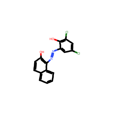 Oc1ccc2ccccc2c1N=Nc1cc(Cl)cc(Cl)c1O